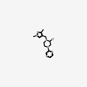 Cc1nn(C)cc1CN1CCN(c2cnccn2)CC1Cl